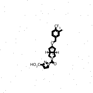 Cc1cc(CO[C@H]2C[C@@H]3CN(C(=O)n4ccc(C(=O)O)n4)C[C@@H]3C2)ccc1C(F)(F)F